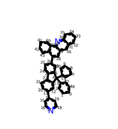 c1ccc(C2(c3ccccc3)c3cc(-c4ccncc4)ccc3-c3ccc(-c4cc5cc6ccccc6nc5c5ccccc45)cc32)cc1